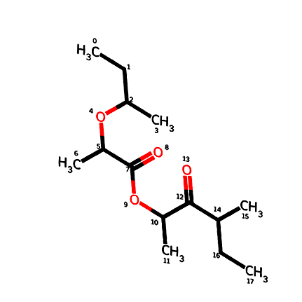 CCC(C)OC(C)C(=O)OC(C)C(=O)C(C)CC